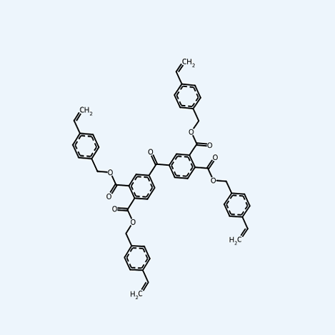 C=Cc1ccc(COC(=O)c2ccc(C(=O)c3ccc(C(=O)OCc4ccc(C=C)cc4)c(C(=O)OCc4ccc(C=C)cc4)c3)cc2C(=O)OCc2ccc(C=C)cc2)cc1